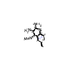 C=C/C=c1/c(NC)c(N)c(N)n/c1=C/C